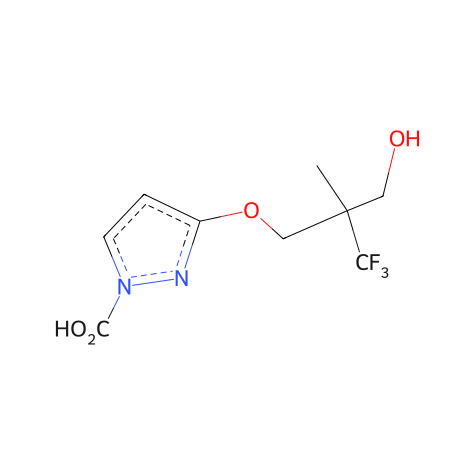 CC(CO)(COc1ccn(C(=O)O)n1)C(F)(F)F